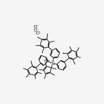 CC1=C(C)C(C)([Si](c2cccc(-c3c(C)c(C)c(C)c(C)c3C)c2)(c2cccc(-c3c(C)c(C)c(C)c(C)c3C)c2)c2cccc(-c3c(C)c(C)c(C)c(C)c3C)c2)[C]([Ti+3])=C1C.[Cl-].[Cl-].[Cl-]